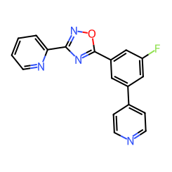 Fc1cc(-c2ccncc2)cc(-c2nc(-c3ccccn3)no2)c1